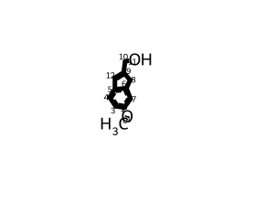 COc1ccc2c(c1)CC(CO)=C2